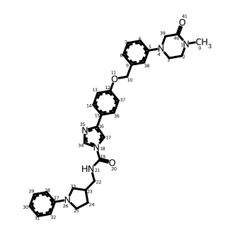 CN1CCN(c2cccc(COc3ccc(-c4cn(C(=O)NCC5CCN(c6ccccc6)C5)cn4)cc3)c2)CC1=O